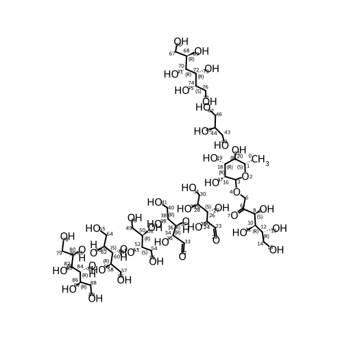 C[C@@H]1OC(OCC(=O)[C@@H](O)[C@H](O)[C@H](O)CO)[C@H](O)[C@H](O)[C@H]1O.O=C[C@H](O)[C@@H](O)[C@@H](O)CO.O=C[C@H](O)[C@H](O)[C@H](O)CO.OCC(O)CO.OC[C@@H](O)[C@@H](O)CO.OC[C@@H](O)[C@@H](O)[C@@H](O)CO.OC[C@@H](O)[C@@H](O)[C@H](O)[C@@H](O)CO.OC[C@@H](O)[C@@H](O)[C@H](O)[C@H](O)CO